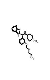 CN1CCC(NC(c2cccc(OCCCCN)c2)c2nc3ccccc3[nH]2)CC1